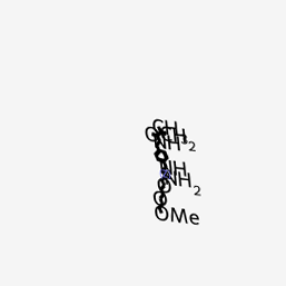 C=C(C)C(=O)NCc1ccc(N/C=C(\N)COCCOCCOC)cc1